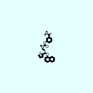 C[C@@H](c1cccc(OC(=O)N(C)CC[C@H](Oc2cccc3ccccc23)c2cccs2)c1)N(C)C